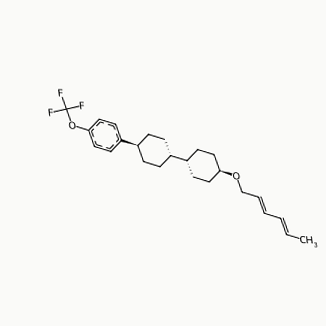 CC=CC=CCO[C@H]1CC[C@H]([C@H]2CC[C@H](c3ccc(OC(F)(F)F)cc3)CC2)CC1